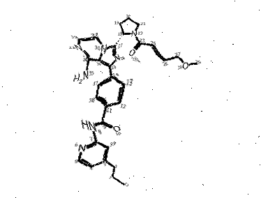 CCCc1ccnc(NC(=O)c2ccc(-c3nc([C@@H]4CCCN4C(=O)/C=C/COC)n4ccnc(N)c34)cc2)c1